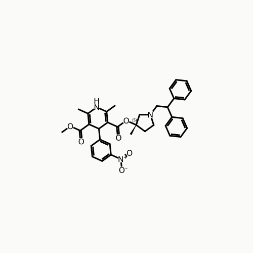 COC(=O)C1=C(C)NC(C)=C(C(=O)O[C@@]2(C)CCN(CC(c3ccccc3)c3ccccc3)C2)C1c1cccc([N+](=O)[O-])c1